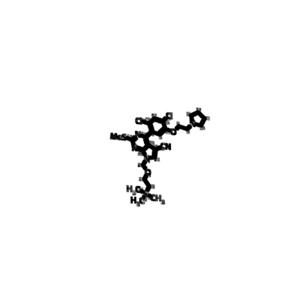 CSc1nc(-c2cc(OCCN3CCCC3)c(Cl)cc2Cl)c2c(C#N)cn(COCC[Si](C)(C)C)c2n1